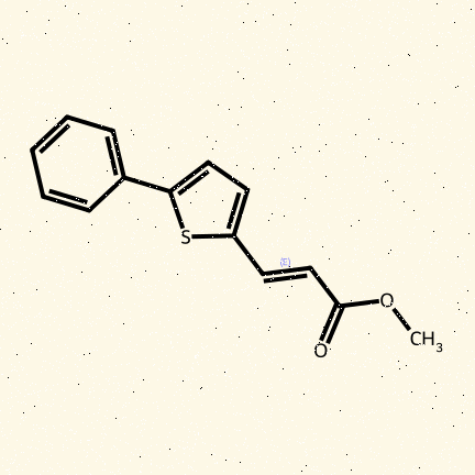 COC(=O)/C=C/c1ccc(-c2ccccc2)s1